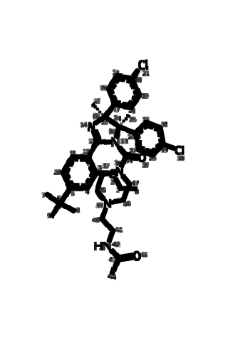 CCOc1cc(C(C)(C)C)ccc1C1=N[C@@](C)(c2ccc(Cl)cc2)[C@@](C)(c2ccc(Cl)cc2)N1C(=O)N1CCN(CCNC(C)=O)CC1